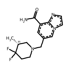 C[C@@H]1CN(Cc2cc(C(N)=O)c3nccn3c2)CCC1(F)F